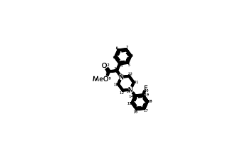 COC(=O)C(c1ccccc1)N1CCN(c2ccccc2F)CC1